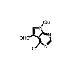 CC(C)(C)n1cc(C=O)c2c(Cl)ncnc21